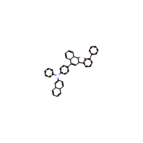 C1=CC2C=CC(N(c3ccccc3)c3ccc(C4=CC5c6cccc(-c7ccccc7)c6OC5C5C=CC=CC45)cc3)=CC2C=C1